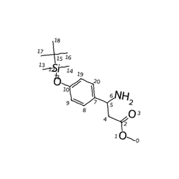 COC(=O)CC(N)c1ccc(O[Si](C)(C)C(C)(C)C)cc1